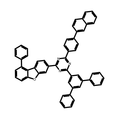 c1ccc(-c2cc(-c3ccccc3)cc(-c3nc(-c4ccc(-c5ccc6ccccc6c5)cc4)nc(-c4ccc5c(c4)oc4cccc(-c6ccccc6)c45)n3)c2)cc1